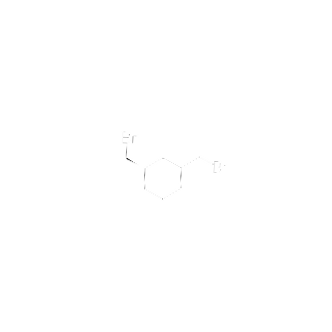 BrCC1CCC[C@@H](CBr)C1